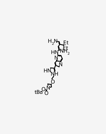 CCC(CC)C(=C/N)/C=C(\N)Nc1ccc2ncc(/C(C=N)=C/NCCOC3CN(C(=O)OC(C)(C)C)C3)cc2n1